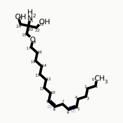 CCCCC/C=C\C/C=C\CCCCCCCCOCC(N)(CO)CO